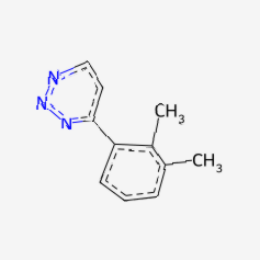 Cc1cccc(-c2ccnnn2)c1C